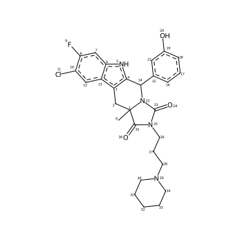 CC12Cc3c([nH]c4cc(F)c(Cl)cc34)C(c3cccc(O)c3)N1C(=O)N(CCCN1CCCCC1)C2=O